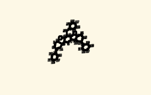 C1=CC2Oc3c(cc4c(oc5ccc(-c6ccccc6)cc54)c3Cc3ccccc3)C2C=C1c1ccccc1